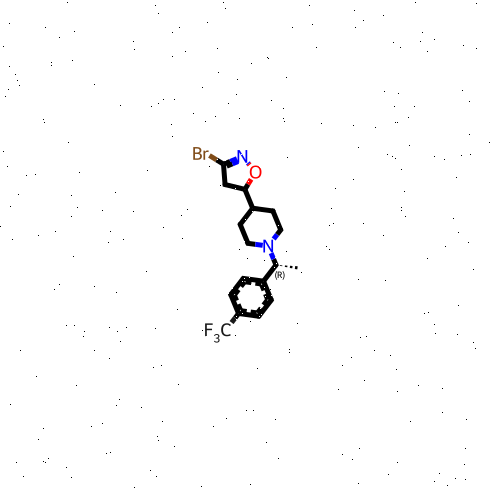 C[C@H](c1ccc(C(F)(F)F)cc1)N1CCC(C2CC(Br)=NO2)CC1